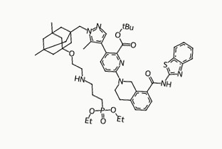 CCOP(=O)(CCCNCCOC12CC3(C)CC(C)(CC(Cn4ncc(-c5ccc(N6CCc7cccc(C(=O)Nc8nc9ccccc9s8)c7C6)nc5C(=O)OC(C)(C)C)c4C)(C3)C1)C2)OCC